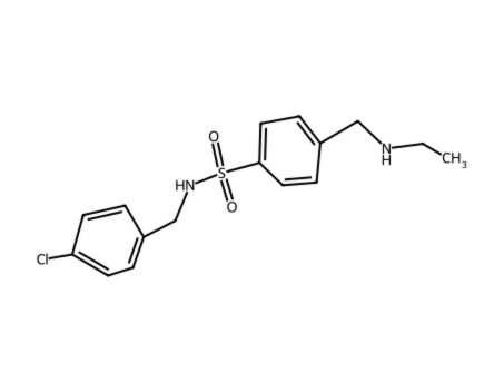 CCNCc1ccc(S(=O)(=O)NCc2ccc(Cl)cc2)cc1